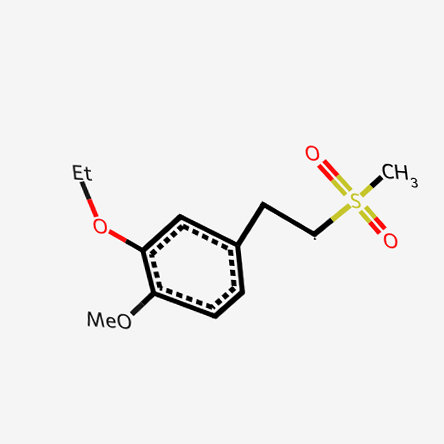 CCOc1cc(C[CH]S(C)(=O)=O)ccc1OC